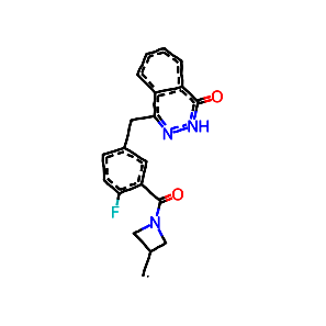 [CH2]C1CN(C(=O)c2cc(Cc3n[nH]c(=O)c4ccccc34)ccc2F)C1